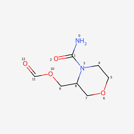 NC(=O)N1CCOCC1COC=O